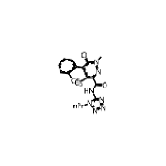 CCCn1nnnc1NC(=O)c1nn(C)c(=O)c(-c2ccccc2C(F)(F)F)c1Cl